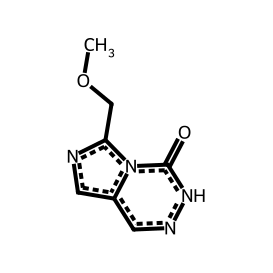 COCc1ncc2cn[nH]c(=O)n12